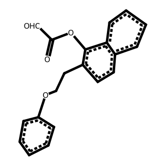 O=CC(=O)Oc1c(CCOc2ccccc2)ccc2ccccc12